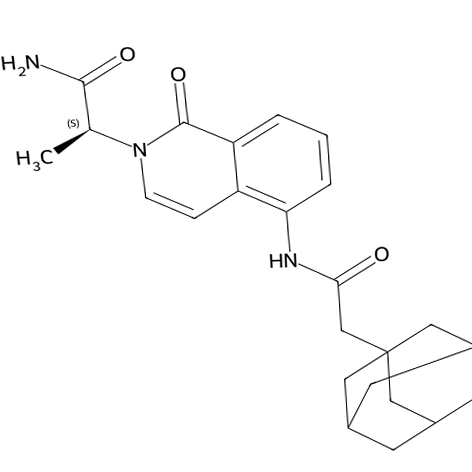 C[C@@H](C(N)=O)n1ccc2c(NC(=O)CC34CC5CC(CC(C5)C3)C4)cccc2c1=O